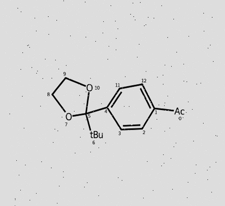 CC(=O)c1ccc(C2(C(C)(C)C)OCCO2)cc1